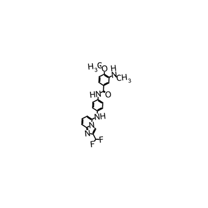 CNc1cc(C(=O)Nc2ccc(Nc3cccc4nc(C(F)F)cn34)cc2)ccc1OC